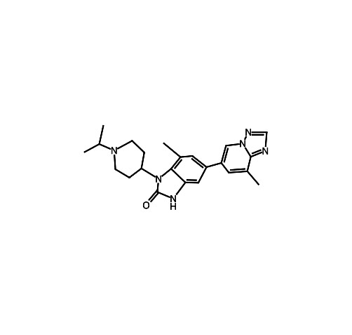 Cc1cc(-c2cc(C)c3ncnn3c2)cc2[nH]c(=O)n(C3CCN(C(C)C)CC3)c12